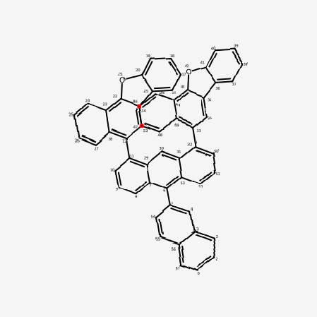 c1ccc2cc(-c3c4cccc(-c5cc6c7ccccc7oc6c6ccccc56)c4cc4c(-c5cc6c7ccccc7oc6c6ccccc56)cccc34)ccc2c1